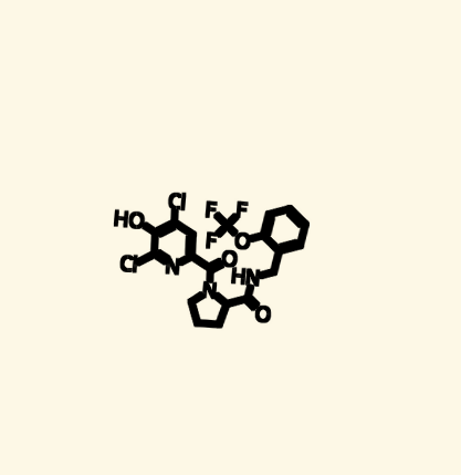 O=C(NCc1ccccc1OC(F)(F)F)C1CCCN1C(=O)c1cc(Cl)c(O)c(Cl)n1